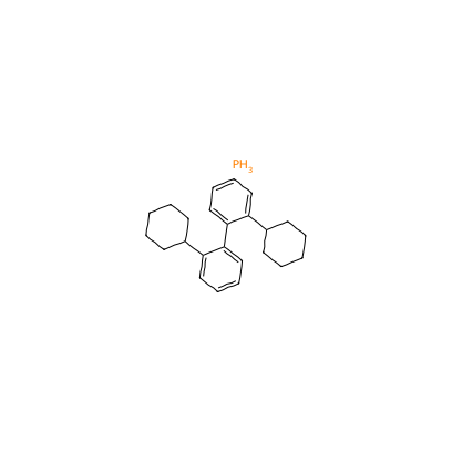 P.c1ccc(C2CCCCC2)c(-c2ccccc2C2CCCCC2)c1